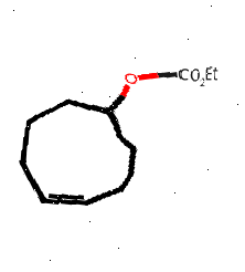 CCOC(=O)OC1CC/C=C\CCC1